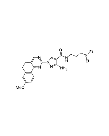 CCN(CC)CCCNC(=O)c1cn(-c2ncc3c(n2)-c2ccc(OC)cc2CC3)nc1N